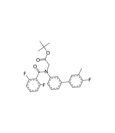 Cc1cc(-c2cccc(N(CC(=O)OC(C)(C)C)C(=O)c3c(F)cccc3F)c2)ccc1F